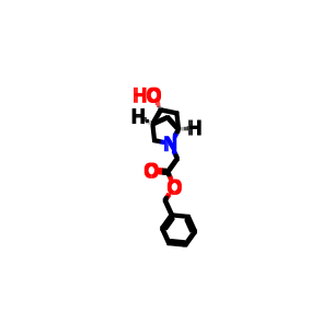 O=C(CN1C[C@@H]2C[C@H]1C[C@H]2O)OCc1ccccc1